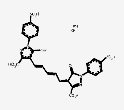 O=C(O)C1=NN(c2ccc(S(=O)(=O)O)cc2)C(=O)C1=CC=CC=Cc1c(C(=O)O)nn(-c2ccc(S(=O)(=O)O)cc2)c1O.[KH].[KH]